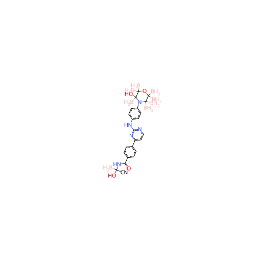 BC(O)(C#N)NC(=O)c1ccc(-c2ccnc(Nc3ccc(N4C(B)(B)C(B)(B)OC(B)(B)C4(B)O)cc3)n2)cc1